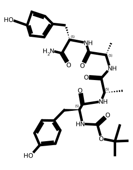 C[C@H](NC(=O)[C@H](C)NC(=O)[C@H](Cc1ccc(O)cc1)NC(=O)OC(C)(C)C)C(=O)N[C@@H](Cc1ccc(O)cc1)C(N)=O